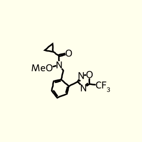 CON(Cc1ccccc1-c1noc(C(F)(F)F)n1)C(=O)C1CC1